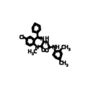 Cc1ccc(NC(=O)NC2N=C(c3ccccc3)c3cc(Cl)ccc3N(C)C2=O)c(C)c1